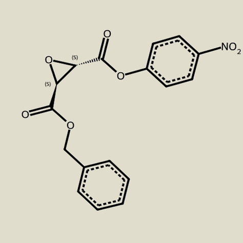 O=C(OCc1ccccc1)[C@H]1O[C@@H]1C(=O)Oc1ccc([N+](=O)[O-])cc1